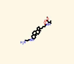 COC(=O)C(NC(=O)CCCC1CCC2C3CCC4CC(NCCCN)CCC4(C)C3CCC12C)C(C)C